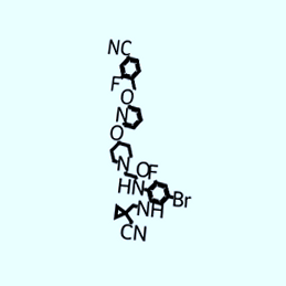 N#CCC1(CNc2cc(Br)cc(F)c2NC(=O)CN2CCC(Oc3cccc(OCc4ccc(C#N)cc4F)n3)CC2)CC1